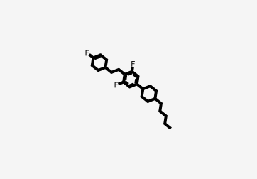 CCCCCC1CCC(c2cc(F)c(CCC3CC=C(F)CC3)c(F)c2)CC1